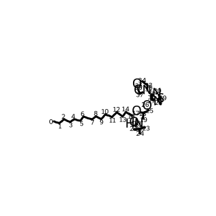 CCCCCCCCCCCCCCCC(=O)OC(CNC(C)(C)C)COc1nsnc1N1CCOCC1